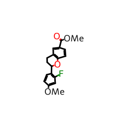 COC(=O)c1ccc2c(c1)CCC(c1ccc(OC)cc1F)O2